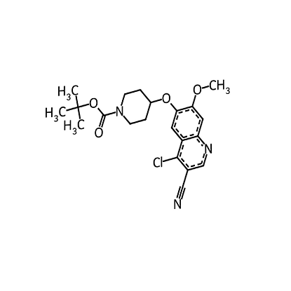 COc1cc2ncc(C#N)c(Cl)c2cc1OC1CCN(C(=O)OC(C)(C)C)CC1